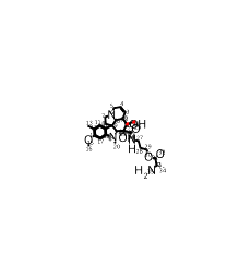 CC[C@]12C=CCN3CCC4(c5cc(C)c(OC)cc5N(C)C4[C@@](O)(C(=O)NCCCOC(=O)[C@H](C)N)[C@@H]1O)C32